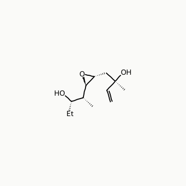 C=C[C@](C)(O)C[C@H]1O[C@@H]1[C@H](C)[C@@H](O)CC